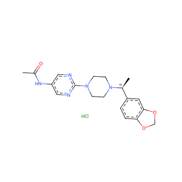 CC(=O)Nc1cnc(N2CCN([C@@H](C)c3ccc4c(c3)OCO4)CC2)nc1.Cl